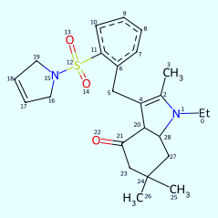 CCN1C(C)=C(Cc2ccccc2S(=O)(=O)N2CC=CC2)C2C(=O)CC(C)(C)CC21